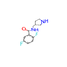 O=C(NCC1CCNC1)c1cc(F)ccc1F